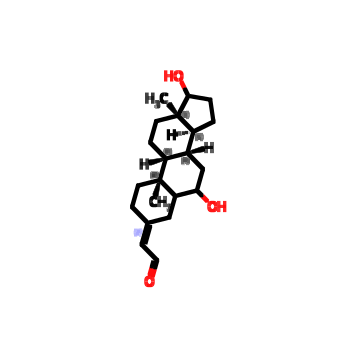 C[C@]12CC/C(=C/C=O)CC1C(O)C[C@@H]1[C@H]2CC[C@]2(C)C(O)CC[C@@H]12